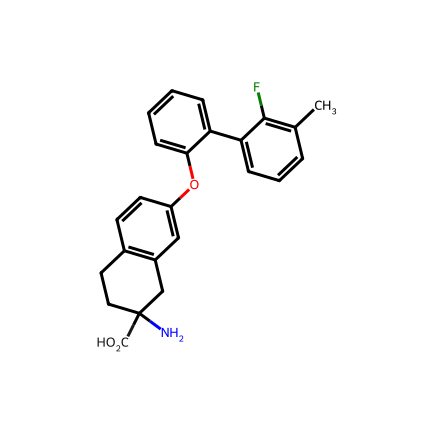 Cc1cccc(-c2ccccc2Oc2ccc3c(c2)CC(N)(C(=O)O)CC3)c1F